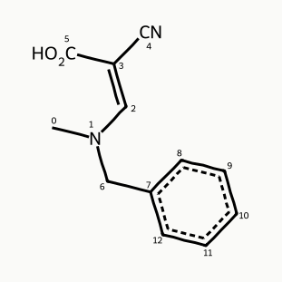 CN(/C=C(/C#N)C(=O)O)Cc1ccccc1